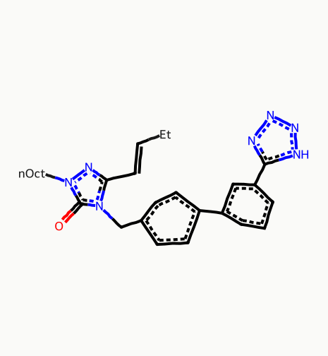 CCC=Cc1nn(CCCCCCCC)c(=O)n1Cc1ccc(-c2cccc(-c3nnn[nH]3)c2)cc1